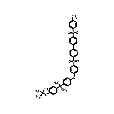 Cc1ccc(S(=O)(=O)c2ccc(-c3ccc(S(=O)(=O)c4ccc(Oc5ccc(C(C)(C)c6ccc(OC(C)(C)C)cc6)cc5)cc4)cc3)cc2)cc1